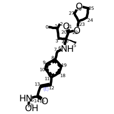 CC(C)C[C@@](C)(NCc1ccc(/C=C/C(=O)NO)cc1)C(=O)OC1CCOC1